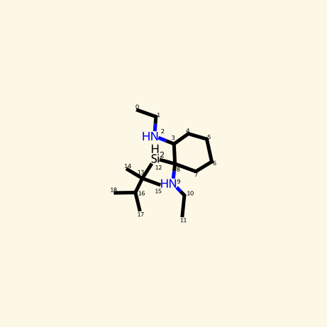 CCNC1CCCCC1(NCC)[SiH2]C(C)(C)C(C)C